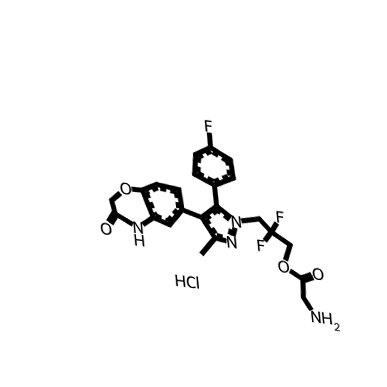 Cc1nn(CC(F)(F)COC(=O)CN)c(-c2ccc(F)cc2)c1-c1ccc2c(c1)NC(=O)CO2.Cl